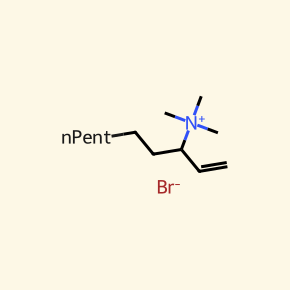 C=CC(CCCCCCC)[N+](C)(C)C.[Br-]